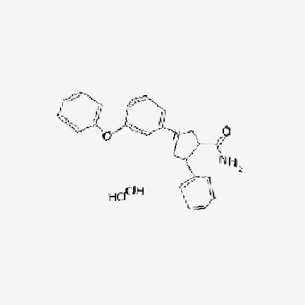 Cl.Cl.NC(=O)C1CN(c2cccc(Oc3ccccc3)c2)CC1c1ccccc1